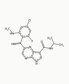 CNc1cc(Cl)cc(F)c1C(=N)c1cnc2[nH]cc(C(=O)NC(C)C)c2n1